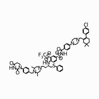 CC1CN(CC[C@H](CSc2ccccc2)Nc2ccc(S(=O)(=O)NC(=O)c3ccc(N4CCN(CC5=C(c6ccc(Cl)cc6)CCC(C)(C)C5)CC4)cc3)cc2S(=O)(=O)C(F)(F)F)CC(C)N1Cc1ccc(N2CCC(=O)NC2=O)cc1